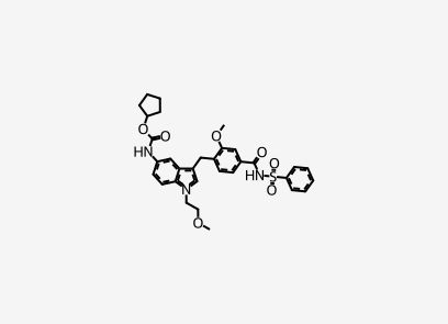 COCCn1cc(Cc2ccc(C(=O)NS(=O)(=O)c3ccccc3)cc2OC)c2cc(NC(=O)OC3CCCC3)ccc21